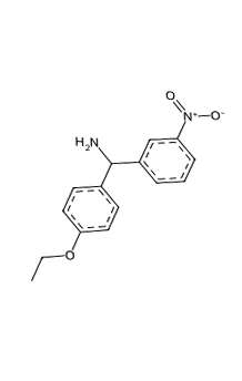 CCOc1ccc(C(N)c2cccc([N+](=O)[O-])c2)cc1